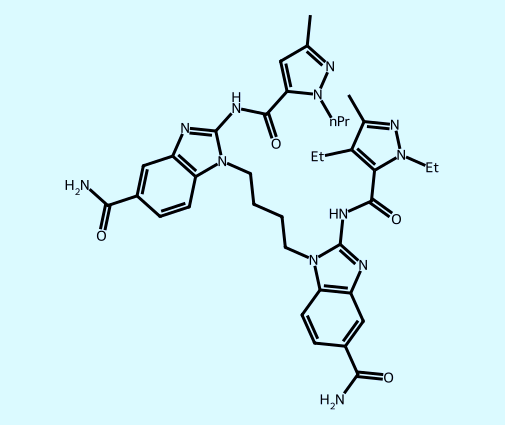 CCCn1nc(C)cc1C(=O)Nc1nc2cc(C(N)=O)ccc2n1CCCCn1c(NC(=O)c2c(CC)c(C)nn2CC)nc2cc(C(N)=O)ccc21